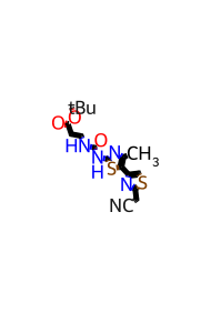 Cc1nc(NC(=O)NCCC(=O)OC(C)(C)C)sc1-c1csc(CC#N)n1